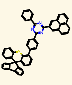 C1=Cc2cc(-c3nc(-c4ccccc4)nc(-c4ccc(-c5cccc6c5Sc5ccccc5C65c6ccccc6-c6ccccc65)cc4)n3)cc3cccc(c23)C1